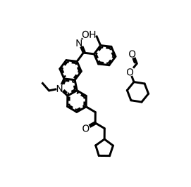 CCn1c2ccc(CC(=O)CC3CCCC3)cc2c2cc(C(=NO)c3ccccc3C)ccc21.O=COC1CCCCC1